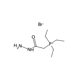 CC[P+](CC)(CC)CC(=O)NN.[Br-]